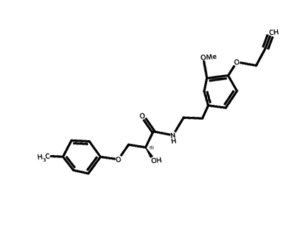 C#CCOc1ccc(CCNC(=O)[C@@H](O)COc2ccc(C)cc2)cc1OC